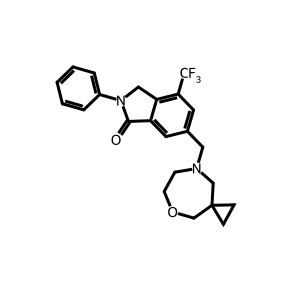 O=C1c2cc(CN3CCOCC4(CC4)C3)cc(C(F)(F)F)c2CN1c1ccccc1